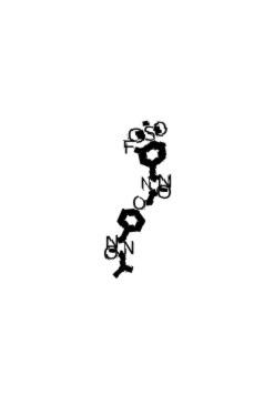 CC(C)c1nc(-c2ccc(OCc3nc(-c4ccc(S(C)(=O)=O)c(F)c4)no3)cc2)no1